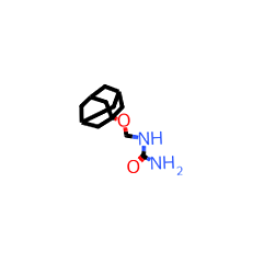 NC(=O)NCOC12CC3CC(CC(C3)C1)C2